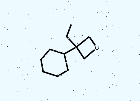 CCC1(C2CCCCC2)COC1